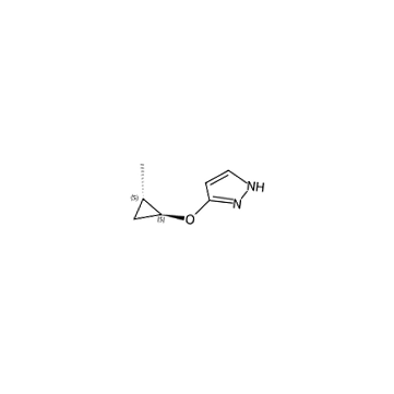 C[C@H]1C[C@@H]1Oc1cc[nH]n1